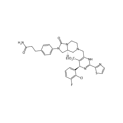 CCOC(=O)C1=C(CN2CCN3C(=O)N(c4ccc(CCC(N)=O)cc4)C[C@@H]3C2)NC(c2nccs2)=N[C@H]1c1cccc(F)c1Cl